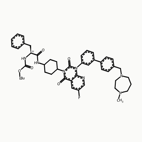 CN1CCCN(Cc2ccc(-c3cccc(-n4c(=O)n(C5CCC(NC(=O)[C@H](Cc6ccccc6)NC(=O)OC(C)(C)C)CC5)c(=O)c5cc(F)cnc54)c3)cc2)CC1